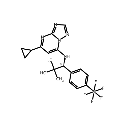 CC(C)(O)[C@@H](Nc1cc(C2CC2)nc2ncnn12)c1ccc(S(F)(F)(F)(F)F)cc1